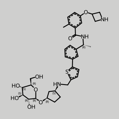 Cc1ccc(OC2CNC2)cc1C(=O)N[C@H](C)c1cccc(-c2ccc(CN[C@H]3CC[C@@H](O[C@@H]4O[C@H](CO)[C@@H](O)[C@H](O)[C@H]4O)C3)s2)c1